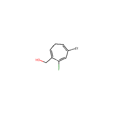 CCC1=CCC=C(CO)C(F)=C1